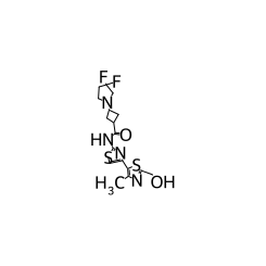 Cc1nc(CO)sc1-c1csc(NC(=O)C2CC(N3CCC(F)(F)C3)C2)n1